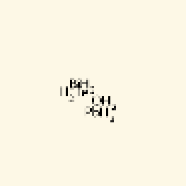 O.[BiH3].[PbH2].[TeH2]